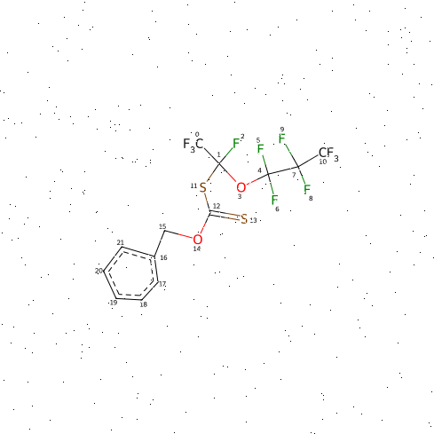 FC(F)(F)C(F)(OC(F)(F)C(F)(F)C(F)(F)F)SC(=S)OCc1ccccc1